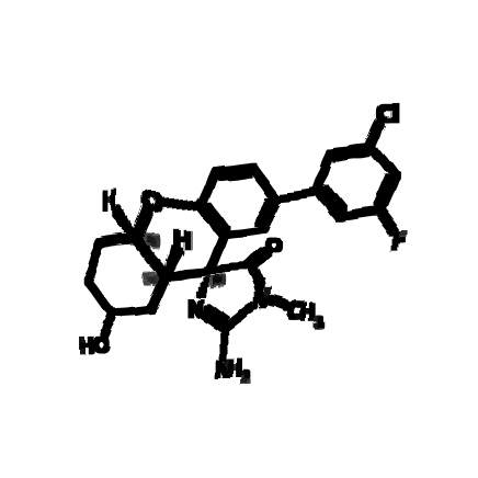 CN1C(=O)[C@]2(N=C1N)c1cc(-c3cc(F)cc(Cl)c3)ccc1O[C@H]1CCC(O)C[C@H]12